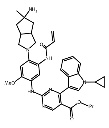 C=CC(=O)Nc1cc(Nc2ncc(C(=O)OC(C)C)c(-c3cn(C4CC4)c4ccccc34)n2)c(OC)cc1N1CC2CC(C)(N)CC2C1